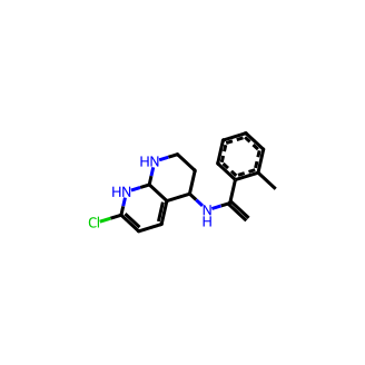 C=C(NC1CCNC2NC(Cl)=CC=C12)c1ccccc1C